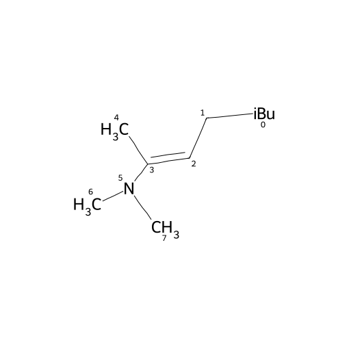 CCC(C)C/C=C(\C)N(C)C